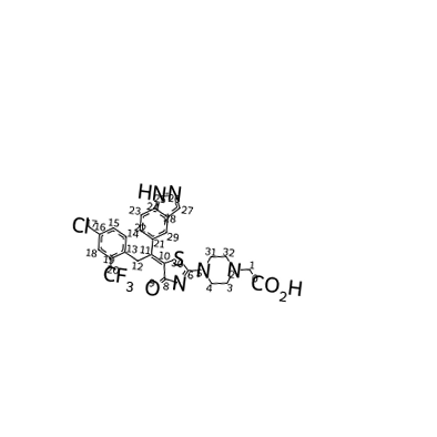 O=C(O)CN1CCN(C2=NC(=O)C(=C(Cc3ccc(Cl)cc3C(F)(F)F)c3ccc4[nH]ncc4c3)S2)CC1